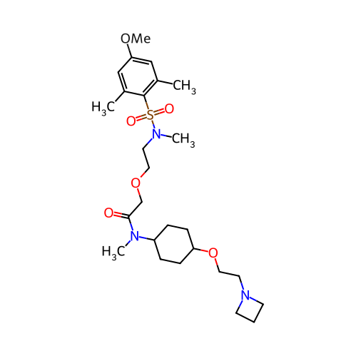 COc1cc(C)c(S(=O)(=O)N(C)CCOCC(=O)N(C)C2CCC(OCCN3CCC3)CC2)c(C)c1